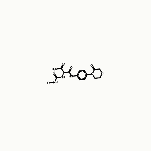 CCNC(=O)N[C@@H](C(N)=O)C(=O)Nc1ccc(N2CCOCC2=O)cc1